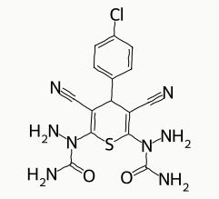 N#CC1=C(N(N)C(N)=O)SC(N(N)C(N)=O)=C(C#N)C1c1ccc(Cl)cc1